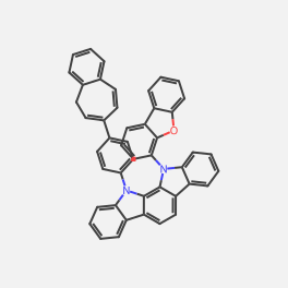 C1=Cc2ccccc2CC=C1c1ccc(-n2c3ccccc3c3ccc4c5ccccc5n(-c5cccc6c5oc5ccccc56)c4c32)cc1